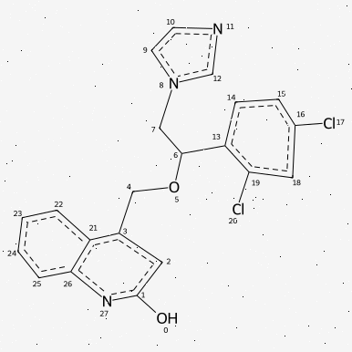 Oc1cc(COC(Cn2ccnc2)c2ccc(Cl)cc2Cl)c2ccccc2n1